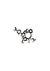 C=CC(=O)N1CCN(C2=NC(O)N3C4=C(C=CN(CC(C)C)[C@@H]4C)C(O)C(OCC(F)F)COc4cccc(F)c4-c4nc3c2cc4C)[C@@H](C)C1